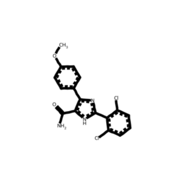 COc1ccc(-c2nc(-c3c(Cl)cccc3Cl)[nH]c2C(N)=O)cc1